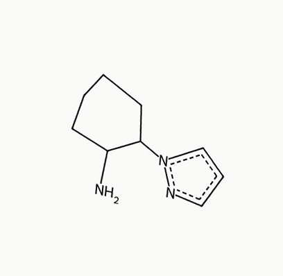 NC1CCCCC1n1cccn1